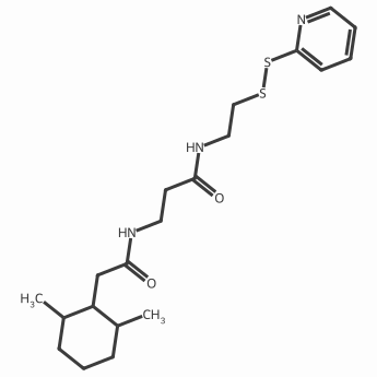 CC1CCCC(C)C1CC(=O)NCCC(=O)NCCSSc1ccccn1